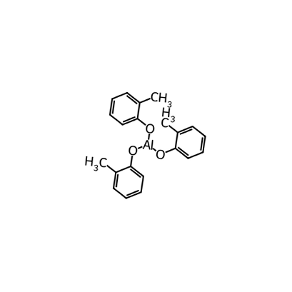 Cc1ccccc1[O][Al]([O]c1ccccc1C)[O]c1ccccc1C